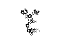 Nc1nc2c(ncn2[C@H]2CC[C@@H](COP(=O)(O)O[C@H]3C[C@H](Nc4ncnc5ccnn45)C[C@@H]3COP(=O)(O)O)O2)c(=O)[nH]1